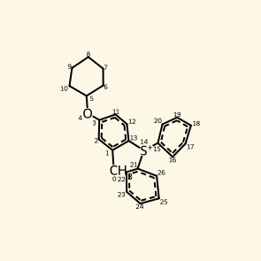 Cc1cc(OC2CCCCC2)ccc1[S+](c1ccccc1)c1ccccc1